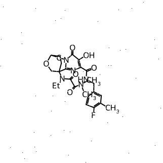 CCN(C(=O)C(=O)N(C)C)C12CCC(Cn3c1nc(C(=O)NCc1ccc(F)c(C)c1)c(O)c3=O)OC2